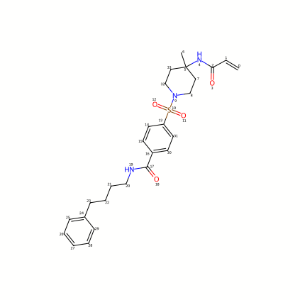 C=CC(=O)NC1(C)CCN(S(=O)(=O)c2ccc(C(=O)NCCCCc3ccccc3)cc2)CC1